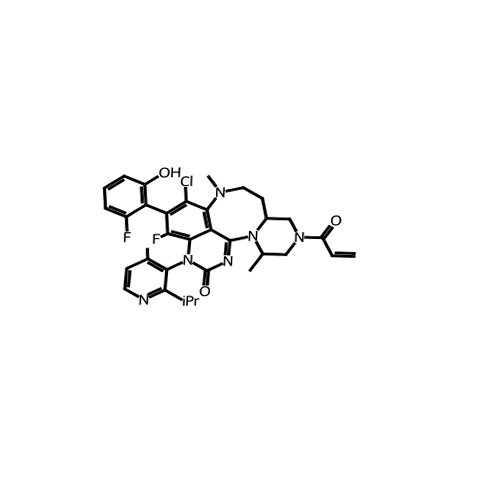 C=CC(=O)N1CC(C)N2c3nc(=O)n(-c4c(C)ccnc4C(C)C)c4c(F)c(-c5c(O)cccc5F)c(Cl)c(c34)N(C)CCC2C1